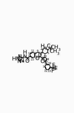 CC(C)(C)C1CCC(N(Cc2ccc(C(=O)Nc3nn[nH]n3)cc2)C(=O)c2ccc(-c3cccc(C(F)(F)F)c3)o2)CC1